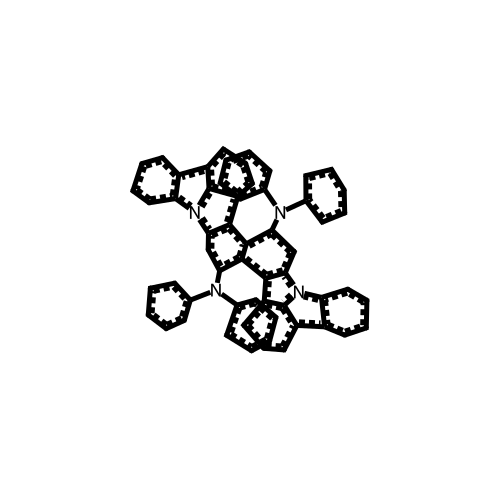 c1ccc(N(c2ccccc2)c2cc3c(c4cccc5c6ccccc6n3c54)c3c(N(c4ccccc4)c4ccccc4)cc4c(c5cccc6c7ccccc7n4c65)c23)cc1